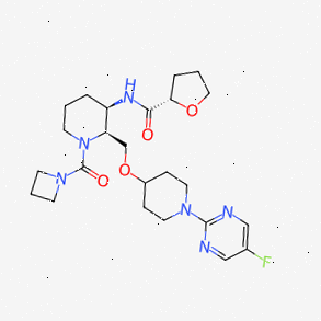 O=C(N[C@@H]1CCCN(C(=O)N2CCC2)[C@@H]1COC1CCN(c2ncc(F)cn2)CC1)[C@@H]1CCCO1